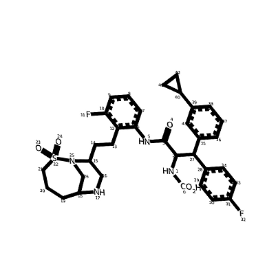 O=C(O)NC(C(=O)Nc1cccc(F)c1CCC1CNC2CCCS(=O)(=O)N1C2)C(c1ccc(F)cc1)c1cccc(C2CC2)c1